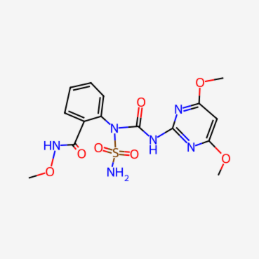 CONC(=O)c1ccccc1N(C(=O)Nc1nc(OC)cc(OC)n1)S(N)(=O)=O